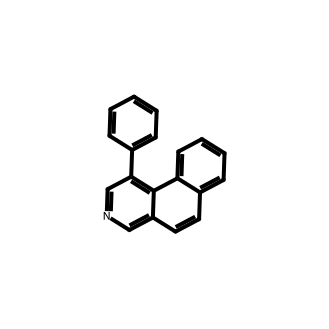 c1ccc(-c2cncc3ccc4ccccc4c23)cc1